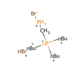 Br.CCCC[P+](C)(CCCC)CCCC.P.[Br-]